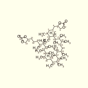 CC(CCCC1COC(=O)O1)C(C)C(C)C(C)C(C)C(C)CCC(C)C(C)C(C)C(C)C(C)C(C)CCC(C)C(C)C(C)C(C)C(C)C(C)CCCC1COC(=O)O1